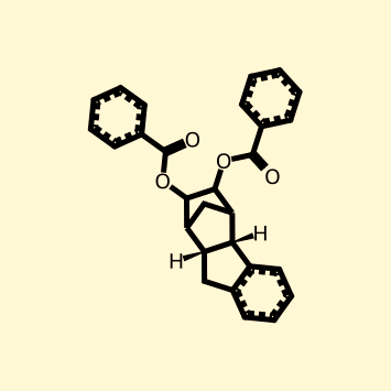 O=C(OC1C(OC(=O)c2ccccc2)C2CC1[C@H]1Cc3ccccc3[C@@H]21)c1ccccc1